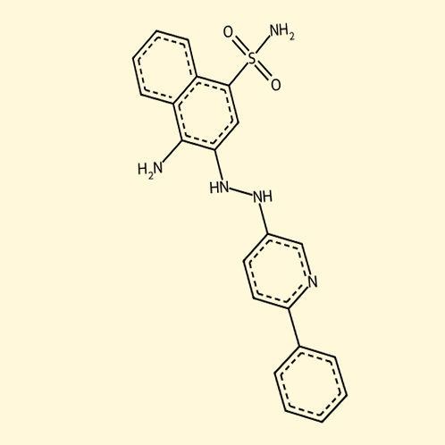 Nc1c(NNc2ccc(-c3ccccc3)nc2)cc(S(N)(=O)=O)c2ccccc12